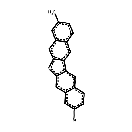 Cc1ccc2cc3c(cc2c1)sc1cc2cc(Br)ccc2cc13